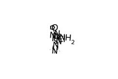 C[C@@H]1CN(c2cc3nc(-c4ccco4)nn3c(N)n2)C[C@H](C)N1C.Cl